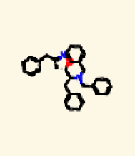 c1ccc(CC2=NO[C@H]([C@H](Cc3ccccc3)N(Cc3ccccc3)Cc3ccccc3)C2)cc1